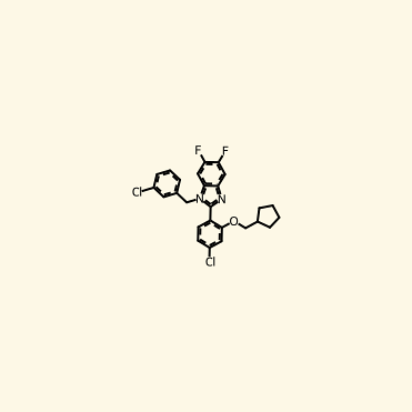 Fc1cc2nc(-c3ccc(Cl)cc3OCC3CCCC3)n(Cc3cccc(Cl)c3)c2cc1F